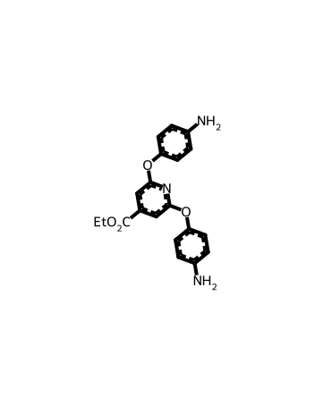 CCOC(=O)c1cc(Oc2ccc(N)cc2)nc(Oc2ccc(N)cc2)c1